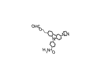 NC(=O)c1ccc(-n2c3ccc(-n4ccnc4)cc3c3ccc(CCOC=O)cc32)cc1